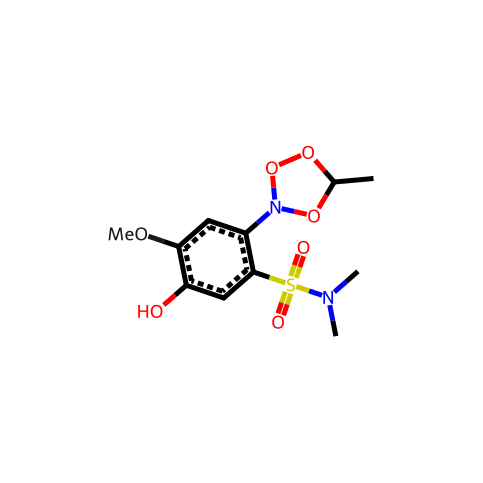 COc1cc(N2OOC(C)O2)c(S(=O)(=O)N(C)C)cc1O